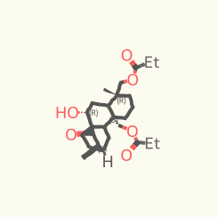 C=C1C(=O)C23CC[C@H]1CC2[C@]1(COC(=O)CC)CCC[C@@](C)(COC(=O)CC)C1C[C@H]3O